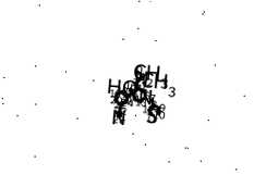 CN(C)CC1CN(Cc2ccsc2)CCC1(O)c1cccc(C#N)c1